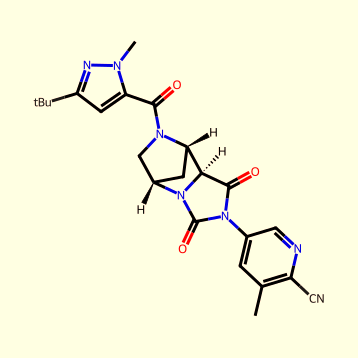 Cc1cc(N2C(=O)[C@@H]3[C@@H]4C[C@@H](CN4C(=O)c4cc(C(C)(C)C)nn4C)N3C2=O)cnc1C#N